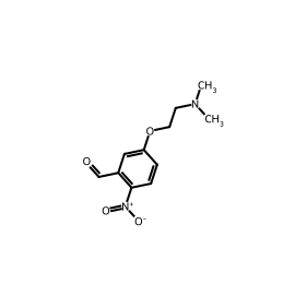 CN(C)CCOc1ccc([N+](=O)[O-])c(C=O)c1